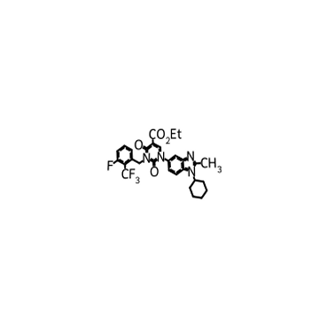 CCOC(=O)c1cn(-c2ccc3c(c2)nc(C)n3C2CCCCC2)c(=O)n(Cc2cccc(F)c2C(F)(F)F)c1=O